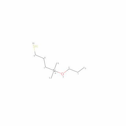 CCCO[Si](C)(C)CCCS